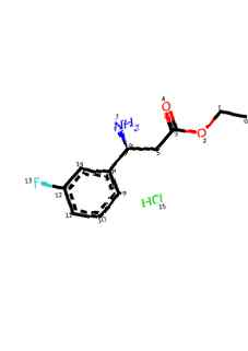 CCOC(=O)C[C@H](N)c1cccc(F)c1.Cl